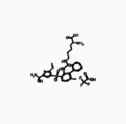 CSc1sc(C(=N)N)cc1S(=O)(=O)c1ccc(C)c(-c2ccccc2)c1NC(=O)NCCCCC(N)C(=O)O.O=C(O)C(F)(F)F